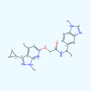 Cc1cc(OCC(=O)NC(C)c2ccc3c(c2)ncn3C)nc2c1c(C1CC1)nn2C